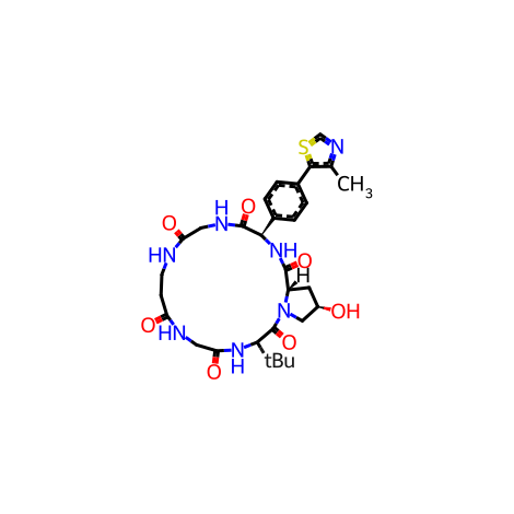 Cc1ncsc1-c1ccc([C@H]2NC(=O)[C@@H]3C[C@@H](O)CN3C(=O)C(C(C)(C)C)NC(=O)CNC(=O)CCNC(=O)CNC2=O)cc1